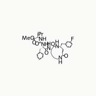 COC(=O)C(NC(=O)N[C@@H](Cc1ccccc1)C(=O)N[C@H]1CCCCNC(=O)/C=C/[C@H](Cc2cccc(F)c2)NC1=O)C(C)C